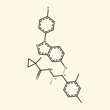 Cc1ccc([C@@H](Oc2ccc3c(cnn3-c3ccc(F)cc3)c2)[C@H](C)NC(=O)C2(C)CC2)c(C)c1